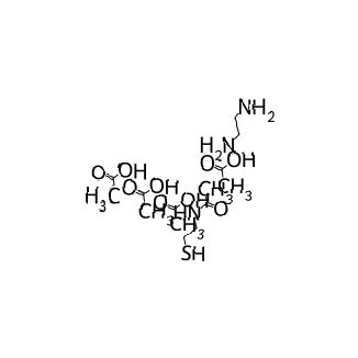 CC(=O)NCCS.CC(=O)O.CC(=O)O.CC(=O)O.CC(=O)O.NCCN